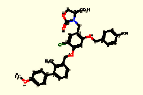 Cc1c(COc2cc(OCc3ccc(C#N)cc3)c(CN3C(=O)OCC3C(=O)O)cc2Cl)cccc1-c1ccc(OC(F)(F)F)cc1